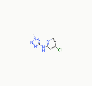 Cn1nnc(Nc2cc(Cl)ccn2)n1